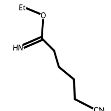 CCOC(=N)CCCCC#N